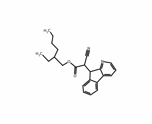 CCCCC(CC)COC(=O)C(C#N)C1c2ccccc2-c2cccnc21